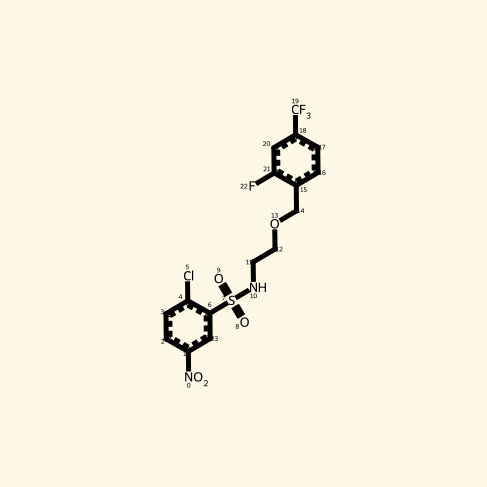 O=[N+]([O-])c1ccc(Cl)c(S(=O)(=O)NCCOCc2ccc(C(F)(F)F)cc2F)c1